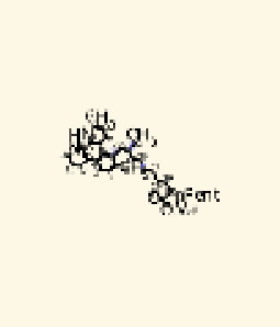 C=c1ccc(C2=C(c3cccc(C)n3)NC=CC2)c/c1=C/C(=C\C)C/C=C/CCC[C@H](CCCCC)C(=O)OC